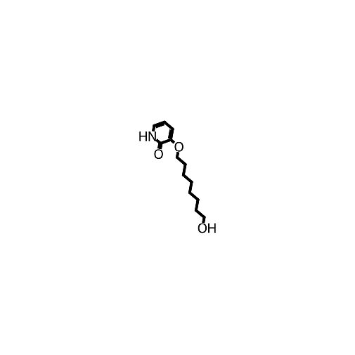 O=c1[nH]cccc1OCCCCCCCCO